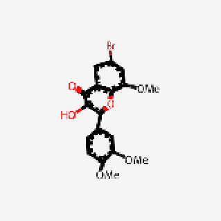 COc1ccc(-c2oc3c(OC)cc(Br)cc3c(=O)c2O)cc1OC